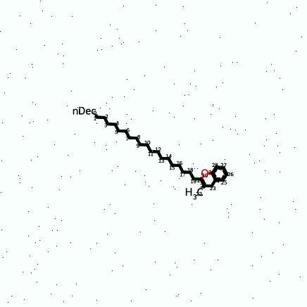 CCCCCCCCCCCCCCCCCCCCCCCCCCCCCC1=C(C)Cc2ccccc2O1